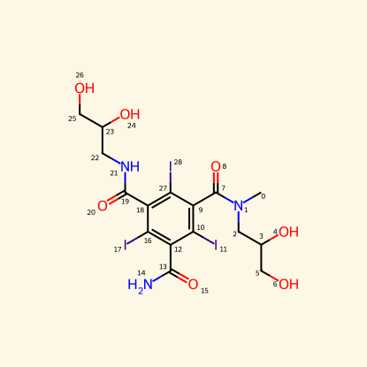 CN(CC(O)CO)C(=O)c1c(I)c(C(N)=O)c(I)c(C(=O)NCC(O)CO)c1I